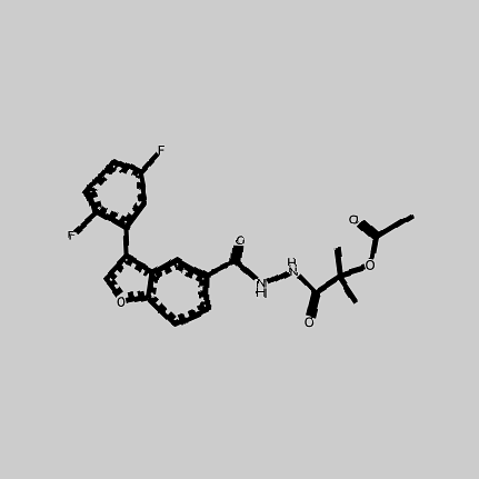 CC(=O)OC(C)(C)C(=O)NNC(=O)c1ccc2occ(-c3cc(F)ccc3F)c2c1